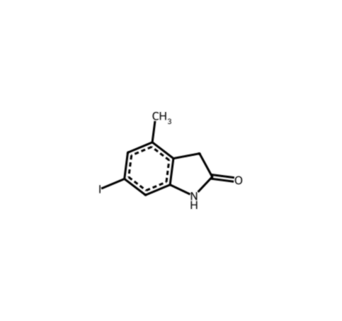 Cc1cc(I)cc2c1CC(=O)N2